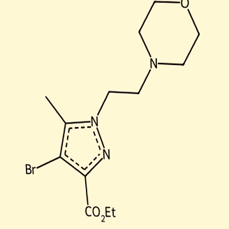 CCOC(=O)c1nn(CCN2CCOCC2)c(C)c1Br